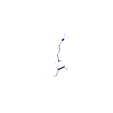 Cc1sc(CCCC#N)nc1CO